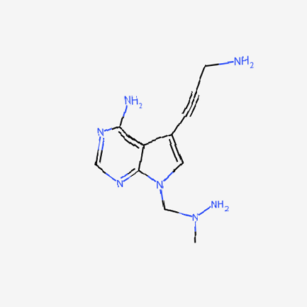 CN(N)Cn1cc(C#CCN)c2c(N)ncnc21